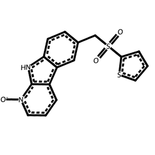 O=S(=O)(Cc1ccc2[nH]c3c(ccc[n+]3[O-])c2c1)c1cccs1